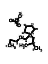 CCCOC[N+]1(CC(C)C)CCCC1.O=[N+]([O-])[O-]